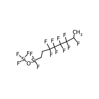 CC(F)C(F)(F)C(F)(F)C(F)(F)C(F)(F)CC[Si](F)(F)O[Si](F)(F)F